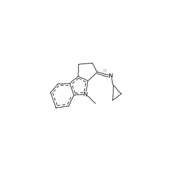 Cn1c2c(c3ccccc31)CC/C2=N/C1CC1